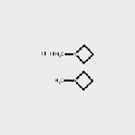 CN1CCC1.CN1CCC1.I.I